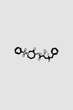 N[C@@H](CC(F)(F)Cc1ccccc1)C(=O)N[C@H]1CCCN(S(=O)(=O)c2ccccc2)CC1=O